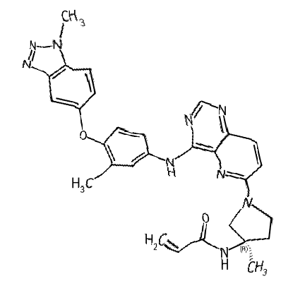 C=CC(=O)N[C@]1(C)CCN(c2ccc3ncnc(Nc4ccc(Oc5ccc6c(c5)nnn6C)c(C)c4)c3n2)C1